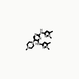 Cc1cc(Nc2ncc(N3CCN(C)CC3)c(Nc3cc(C)n(C)n3)n2)nn1C